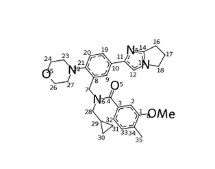 COc1cc(C(=O)N(Cc2cc(-c3cn4c(n3)CCC4)ccc2N2CCOCC2)CC2CC2)ccc1C